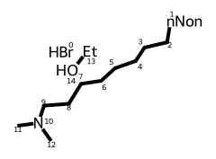 Br.CCCCCCCCCCCCCCCCCN(C)C.CCO